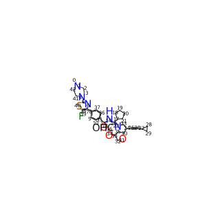 CN1CCN(c2nc(-c3ccc(C(=O)NC(C=O)(C4CCCC4)N4CC(C#CC5CC5)C5OCC(=O)C54)cc3)c(F)s2)CC1